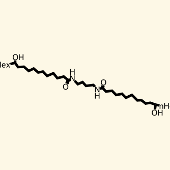 CCCCCCC(O)CCCCCCCCCCC(=O)NCCCCNC(=O)CCCCCCCCCCC(O)CCCCCC